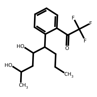 CCCC(c1ccccc1C(=O)C(F)(F)F)C(O)CC(C)O